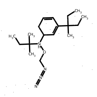 CCC(C)(CC)C1=CC([SiH](OCN=[N+]=[N-])C(C)(C)CC)CC=C1